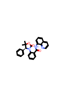 CC1(C)OC(=O)N(c2ccccc2C(=O)Nc2cccc3cccnc23)[C@H]1c1ccccc1